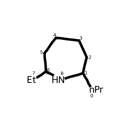 CCCC1CCCCC(CC)N1